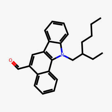 CCCCC(CC)Cn1c2ccccc2c2cc(C=O)c3ccccc3c21